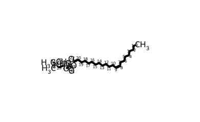 CCCCCCCC/C=C\CCCCCCCCCCCC(=O)OP(=O)(O)OCC[N+](C)(C)C